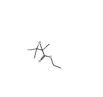 CCOC(=O)C1(C)OC1(C)C